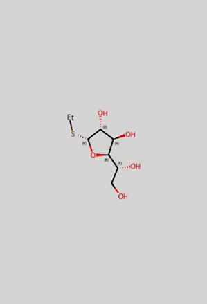 CCS[C@H]1O[C@H]([C@H](O)CO)[C@H](O)[C@H]1O